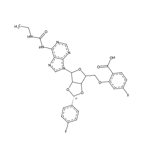 CCNC(=O)Nc1ncnc2c1ncn2C1OC(COc2cc(F)ccc2C(=O)O)C2O[C@H](c3ccc(F)cc3)OC21